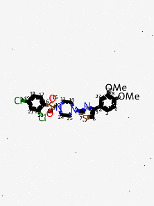 COc1ccc(-c2csc(N3CCN(S(=O)(=O)c4ccc(Cl)cc4Cl)CC3)n2)cc1OC